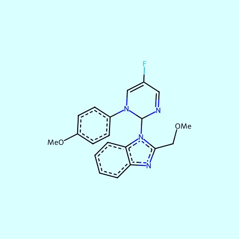 COCc1nc2ccccc2n1C1N=CC(F)=CN1c1ccc(OC)cc1